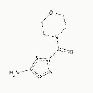 Nc1cnc(C(=O)N2CCOCC2)s1